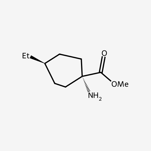 CC[C@H]1CC[C@@](N)(C(=O)OC)CC1